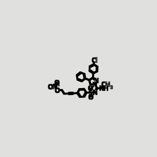 CNC(=NS(=O)(=O)c1ccc(C#CCCO[N+](=O)[O-])cc1)N1CC(c2ccccc2)C(c2ccc(Cl)cc2)=N1